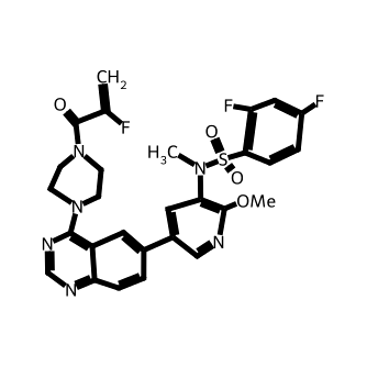 C=C(F)C(=O)N1CCN(c2ncnc3ccc(-c4cnc(OC)c(N(C)S(=O)(=O)c5ccc(F)cc5F)c4)cc23)CC1